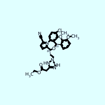 CCOC(=O)CC1=NNN(CC[C@H]2O[C@H](c3cccc(OC)c3OC)c3cc(Cl)ccc3-n3c(C#N)ccc32)N1